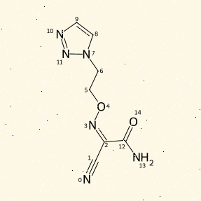 N#CC(=NOCCn1ccnn1)C(N)=O